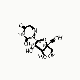 C#C[C@]1(CO)O[C@@H](N2N=CC(=O)NC2=C)[C@@H](O)C1O